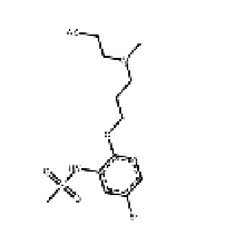 CN(CCC#N)CCCOc1ncc(Br)cc1NS(C)(=O)=O